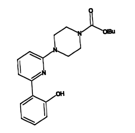 CC(C)COC(=O)N1CCN(c2cccc(-c3ccccc3O)n2)CC1